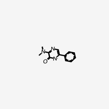 CN(C)C1=NC=C(c2ccccc2)[N]C1=O